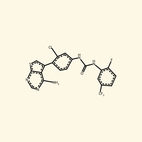 Nc1ncnc2scc(-c3ccc(NC(=O)Nc4cc(C(F)(F)F)ccc4F)cc3Cl)c12